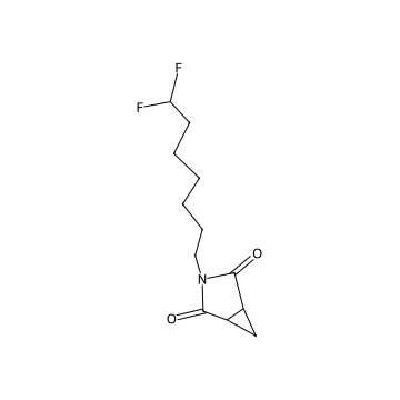 O=C1C2CC2C(=O)N1CCCCCCC(F)F